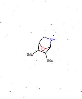 CC(C)(C)C1C2CNC(O2)C1C(C)(C)C